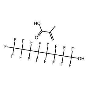 C=C(C)C(=O)O.OC(F)(F)C(F)(F)C(F)(F)C(F)(F)C(F)(F)C(F)(F)C(F)(F)C(F)(F)F